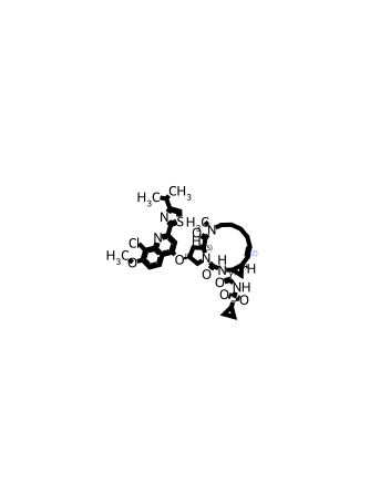 COc1ccc2c(O[C@H]3C[C@H]4C(=O)N(C)CCCC/C=C\[C@H]5C[C@@]5(C(=O)NS(=O)(=O)C5CC5)NC(=O)N4C3)cc(-c3nc(C(C)C)cs3)nc2c1Cl